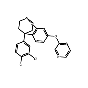 Clc1ccc(C23CCN(CC2)Cc2cc(Oc4cnccn4)ccc23)cc1Cl